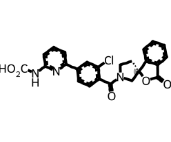 O=C(O)Nc1cccc(-c2ccc(C(=O)N3CC[C@@]4(C3)OC(=O)c3ccccc34)c(Cl)c2)n1